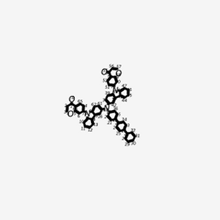 O=c1ccoc2cc(-n3c4ccccc4c4cc(N(c5ccc(-c6ccc(-c7ccccc7)cc6)cc5)c5ccc6c(c5)c5ccccc5n6-c5ccc6c(=O)ccoc6c5)ccc43)ccc12